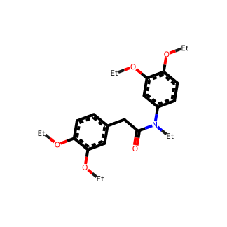 CCOc1ccc(CC(=O)N(CC)c2ccc(OCC)c(OCC)c2)cc1OCC